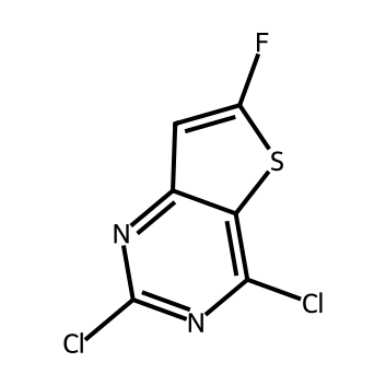 Fc1cc2nc(Cl)nc(Cl)c2s1